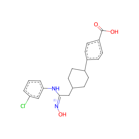 O=C(O)c1ccc(C2CCC(C/C(=N\O)Nc3cccc(Cl)c3)CC2)cc1